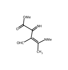 CN/C(C)=C(/C=O)C(=N)C(=O)OC